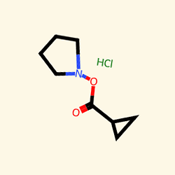 Cl.O=C(ON1CCCC1)C1CC1